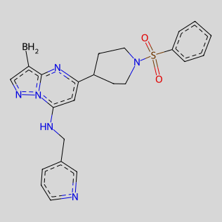 Bc1cnn2c(NCc3cccnc3)cc(C3CCN(S(=O)(=O)c4ccccc4)CC3)nc12